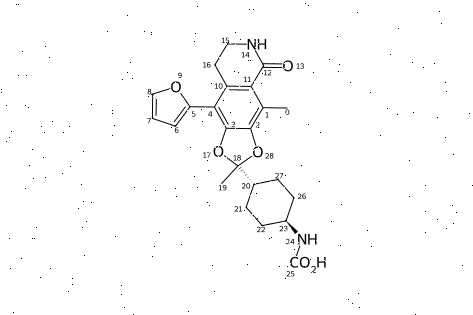 Cc1c2c(c(-c3ccco3)c3c1C(=O)NCC3)OC(C)([C@H]1CC[C@H](NC(=O)O)CC1)O2